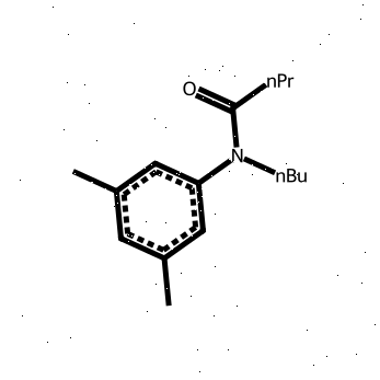 CCCCN(C(=O)CCC)c1cc(C)cc(C)c1